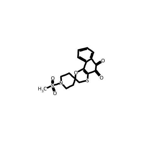 CS(=O)(=O)N1CCC2(CC1)CSC1=C(O2)c2ccccc2C(=O)C1=O